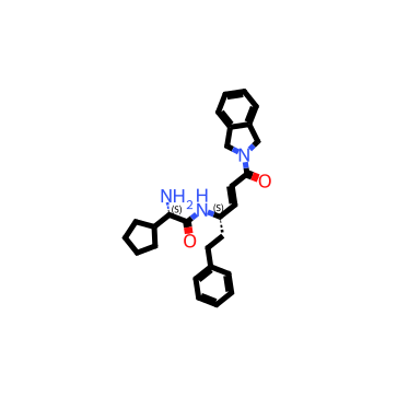 N[C@H](C(=O)N[C@H](C=CC(=O)N1Cc2ccccc2C1)CCc1ccccc1)C1CCCC1